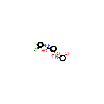 O=S(=O)(NC1CCCC(O)C1)c1cccc(C(O)Nc2ccc(F)c(Cl)c2)c1